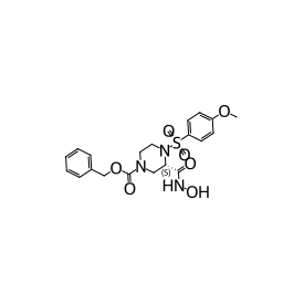 COc1ccc(S(=O)(=O)N2CCN(C(=O)OCc3ccccc3)C[C@H]2C(=O)NO)cc1